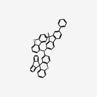 CC1(C)c2cc(-c3ccccc3)ccc2-c2ccc(N(c3ccc4c(c3)C3(c5ccccc5S4)c4ccccc4-c4ccccc43)c3cccc4oc5ccccc5c34)cc21